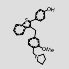 COc1cc(Cc2c(-c3ccc(O)cc3)sc3ccccc23)ccc1CN1CCCC1